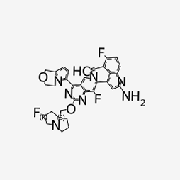 C#Cc1c(F)ccc2nc(N)cc(-c3ncc4c(-c5ccc6n5CCOC6)nc(OC[C@@]56CCCN5C[C@H](F)C6)nc4c3F)c12